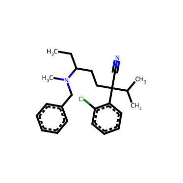 CCC(CCC(C#N)(c1ccccc1Cl)C(C)C)N(C)Cc1ccccc1